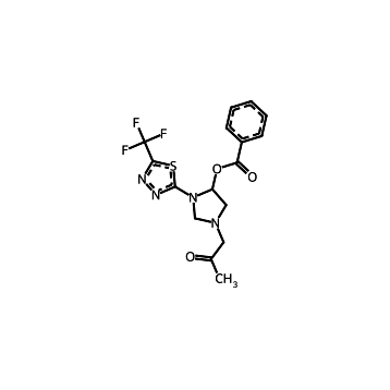 CC(=O)CN1CC(OC(=O)c2ccccc2)N(c2nnc(C(F)(F)F)s2)C1